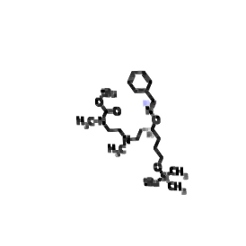 CN(CC[C@@H](CCCO[Si](C)(C)C(C)(C)C)O/N=C/c1ccccc1)CCN(C)C(=O)OC(C)(C)C